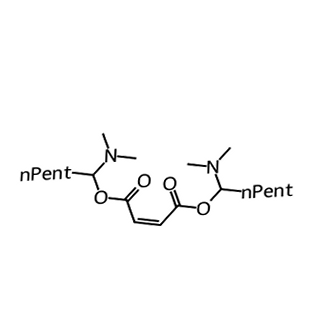 CCCCCC(OC(=O)/C=C\C(=O)OC(CCCCC)N(C)C)N(C)C